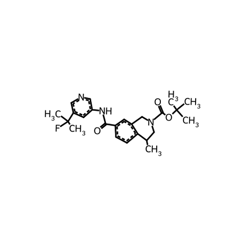 CC1CN(C(=O)OC(C)(C)C)Cc2cc(C(=O)Nc3cncc(C(C)(C)F)c3)ccc21